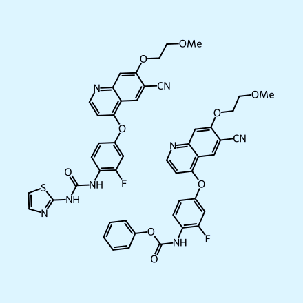 COCCOc1cc2nccc(Oc3ccc(NC(=O)Nc4nccs4)c(F)c3)c2cc1C#N.COCCOc1cc2nccc(Oc3ccc(NC(=O)Oc4ccccc4)c(F)c3)c2cc1C#N